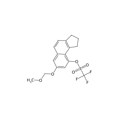 COCOc1cc(OS(=O)(=O)C(F)(F)F)c2c3c(ccc2c1)CCC3